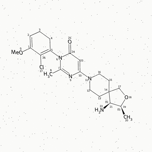 COC1=CCCC(n2c(C)nc(N3CCC4(CC3)CO[C@@H](C)[C@H]4N)cc2=O)=C1Cl